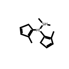 CC1=[C]([Hf]([C]2=C(C)C=CC2)[SiH](C)C)CC=C1